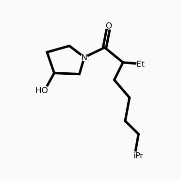 CCC(CCCCC(C)C)C(=O)N1CCC(O)C1